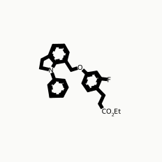 CCOC(=O)CCc1ccc(OCc2cccc3c2N(c2ccccc2)CC3)cc1F